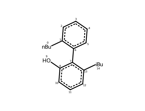 CCCCc1ccccc1-c1c(O)cccc1C(C)CC